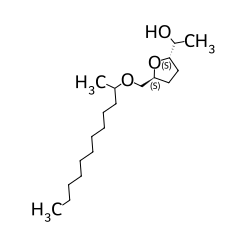 CCCCCCCCCCC(C)OC[C@@H]1CC[C@@H](C(C)O)O1